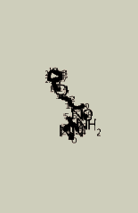 Cc1ncc(CN(C=O)C(C)CCCOCc2ccccc2)c(N)n1